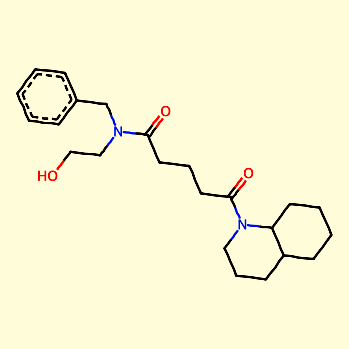 O=C(CCCC(=O)N1CCCC2CCCCC21)N(CCO)Cc1ccccc1